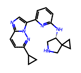 c1cc(N[C@H]2CNCC23CC3)nc(-c2cnc3ccc(C4CC4)nn23)c1